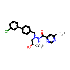 O=C(O)c1cc(C(=O)NN(Cc2ccc(-c3cccc(Cl)c3)cc2)C[C@@H](O)C(=O)O)ncn1